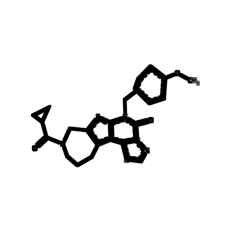 COc1ccc(Cn2c(=O)n3ncnc3c3c4c(sc32)CN(C(=O)C2CC2)CCC4)cc1